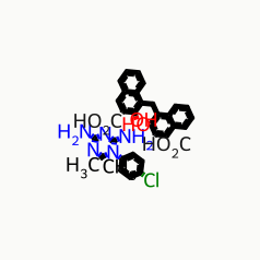 CC1(C)N=C(N)N=C(N)N1c1ccc(Cl)cc1.O=C(O)c1cc2ccccc2c(Cc2c(O)c(C(=O)O)cc3ccccc23)c1O